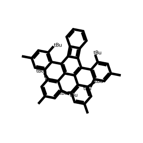 Cc1cc(C(C)(C)C)c(-c2c(-c3c(C(C)(C)C)cc(C)cc3C(C)(C)C)c(-c3c(C(C)(C)C)cc(C)cc3C(C)(C)C)c3c(c2-c2c(C(C)(C)C)cc(C)cc2C(C)(C)C)=c2ccccc2=3)c(C(C)(C)C)c1